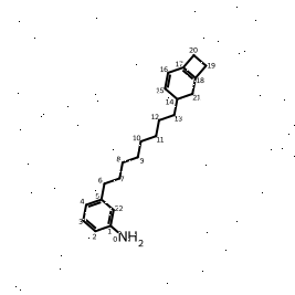 Nc1cccc(CCCCCCCCC2C=CC3=C(CC3)C2)c1